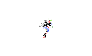 CCC/C=C/C(C(=O)Nc1nnc(OCC2CCOC2)s1)=C(\C=C(C)C)c1cc(Cl)ncc1OC(F)F